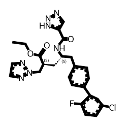 CCOC(=O)[C@@H](C[C@@H](Cc1ccc(-c2cc(Cl)ccc2F)cc1)NC(=O)c1cnn[nH]1)Cn1nccn1